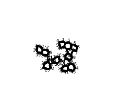 C1=CC2=Cc3cccc4c3C(c3cc(N(c5ccc6c(c5)c5ccccc5n6-c5ccc6ccccc6c5)c5cccc6ccccc56)ccc3-4)C2C=C1